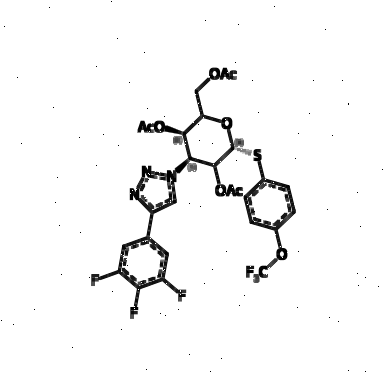 CC(=O)OCC1O[C@H](Sc2ccc(OC(F)(F)F)cc2)C(OC(C)=O)[C@@H](n2cc(-c3cc(F)c(F)c(F)c3)nn2)[C@H]1OC(C)=O